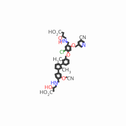 Cc1c(COc2cc(OCc3cncc(C#N)c3)c(CNC[C@@H](O)CC(=O)O)cc2Cl)cccc1-c1cccc(-c2ccc(CNC[C@@H](O)CC(=O)O)c(OCC#N)c2)c1C